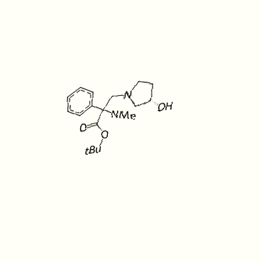 CNC(CN1CC[C@H](O)C1)(C(=O)OC(C)(C)C)c1ccccc1